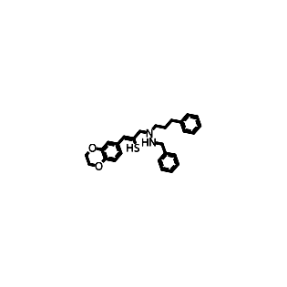 S/C(=C\c1ccc2c(c1)OCCO2)CN(CCCc1ccccc1)NCc1ccccc1